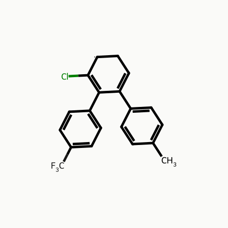 Cc1ccc(C2=CC[CH]C(Cl)=C2c2ccc(C(F)(F)F)cc2)cc1